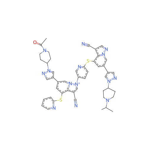 CC(=O)N1CCC(n2cc(-c3cc(Sc4ccccn4)c4c(C#N)c[n+](-c5ccc(Sc6cc(-c7cnn(C8CCN(C(C)C)CC8)c7)cn7ncc(C#N)c67)nc5)n4c3)cn2)CC1